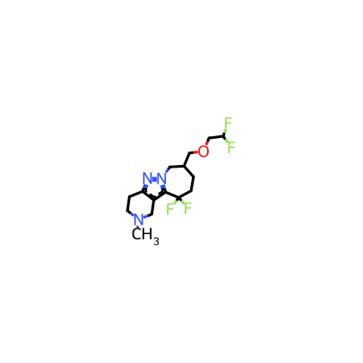 CN1CCc2nn3c(c2C1)C(F)(F)CCC(COCC(F)F)C3